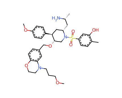 COCCCN1CCOc2ccc(CO[C@H]3CN(S(=O)(=O)c4ccc(C)c(O)c4)[C@@H](C[C@@H](C)N)C[C@@H]3c3ccc(OC)cc3)cc21